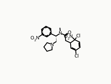 CN(C(=O)CC1C=C(Cl)C=CC1(Cl)[N+](=O)[O-])[C@H](CN1CCCC1)c1cccc([N+](=O)[O-])c1